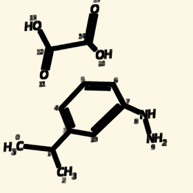 CC(C)c1cccc(NN)c1.O=C(O)C(=O)O